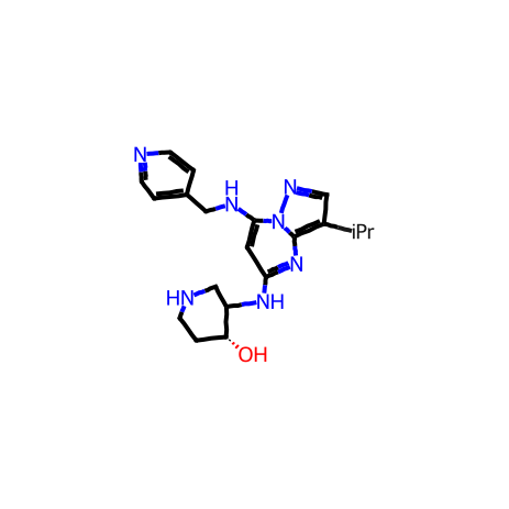 CC(C)c1cnn2c(NCc3ccncc3)cc(NC3CNCC[C@H]3O)nc12